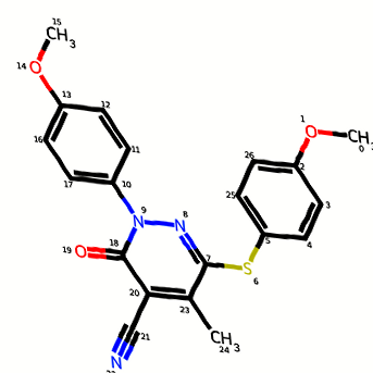 COc1ccc(Sc2nn(-c3ccc(OC)cc3)c(=O)c(C#N)c2C)cc1